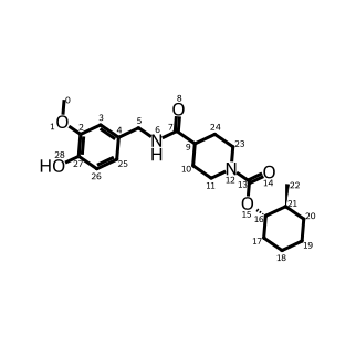 COc1cc(CNC(=O)C2CCN(C(=O)O[C@H]3CCCC[C@@H]3C)CC2)ccc1O